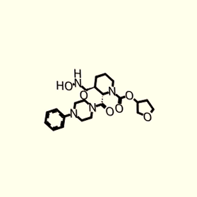 O=C(NO)[C@H]1CCCN(C(=O)OC2CCOC2)[C@@H]1C(=O)N1CCN(c2ccccc2)CC1